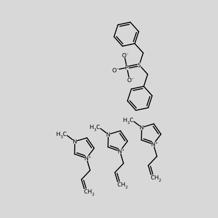 C=CC[n+]1ccn(C)c1.C=CC[n+]1ccn(C)c1.C=CC[n+]1ccn(C)c1.[O-]P([O-])([O-])=S(Cc1ccccc1)Cc1ccccc1